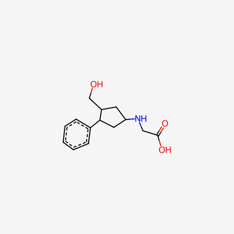 O=C(O)CNC1CC(CO)C(c2ccccc2)C1